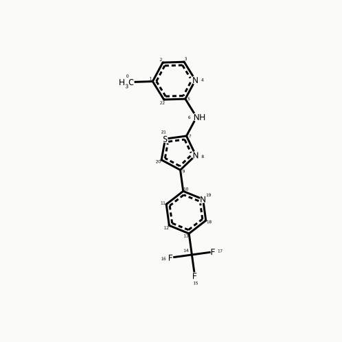 Cc1ccnc(Nc2nc(-c3ccc(C(F)(F)F)cn3)cs2)c1